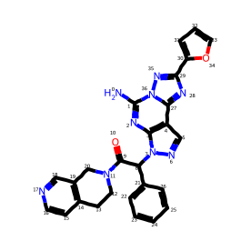 Nc1nc2c(cnn2C(C(=O)N2CCc3ccncc3C2)c2ccccc2)c2nc(-c3ccco3)nn12